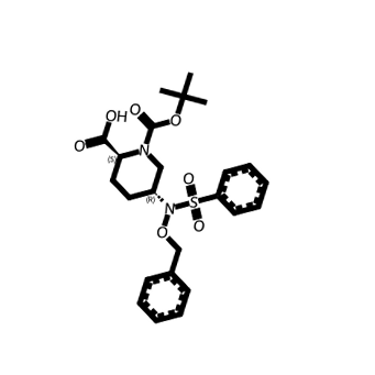 CC(C)(C)OC(=O)N1C[C@H](N(OCc2ccccc2)S(=O)(=O)c2ccccc2)CC[C@H]1C(=O)O